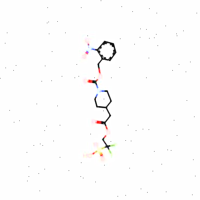 O=C(CC1CCN(C(=O)OCc2ccccc2[N+](=O)[O-])CC1)OCC(F)(F)S(=O)(=O)O